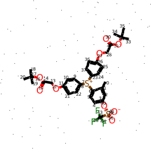 Cc1ccccc1[S+](c1ccc(OCC(=O)OC(C)(C)C)cc1)c1ccc(OCC(=O)OC(C)(C)C)cc1.O=S(=O)([O-])C(F)(F)F